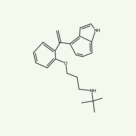 C=C(c1ccccc1OCCCNC(C)(C)C)c1cccc2[nH]ccc12